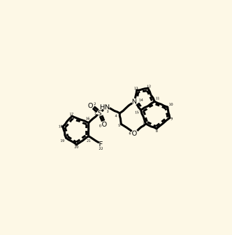 O=S(=O)(NC1COc2cccc3ccn1c23)c1ccccc1F